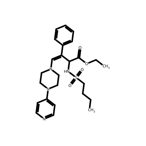 CCCCS(=O)(=O)NC(C(=O)OCC)C(=CN1CCN(c2ccncc2)CC1)c1ccccc1